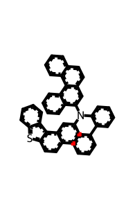 c1ccc(-c2ccccc2N(c2ccc3ccc4sc5ccccc5c4c3c2)c2cc3ccc4ccccc4c3c3ccccc23)cc1